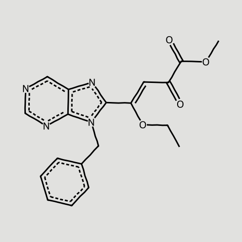 CCO/C(=C\C(=O)C(=O)OC)c1nc2cncnc2n1Cc1ccccc1